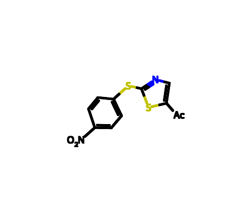 CC(=O)c1cnc(Sc2ccc([N+](=O)[O-])cc2)s1